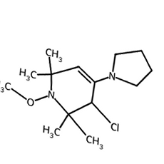 CON1C(C)(C)C=C(N2CCCC2)C(Cl)C1(C)C